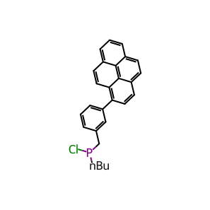 CCCCP(Cl)Cc1cccc(-c2ccc3ccc4cccc5ccc2c3c45)c1